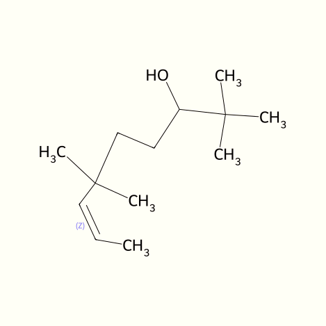 C/C=C\C(C)(C)CCC(O)C(C)(C)C